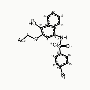 CC(=O)CSc1cc(NS(=O)(=O)c2ccc(Br)cc2)c2ccccc2c1O